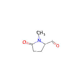 CN1C(=O)CCC1[C]=O